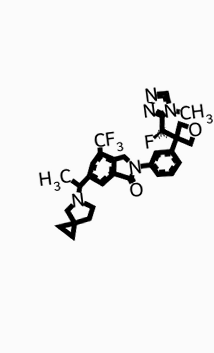 CC(c1cc2c(c(C(F)(F)F)c1)CN(c1cccc(C3([C@@H](F)c4nncn4C)COC3)c1)C2=O)N1CCC2(CC2)C1